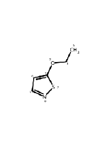 CCOc1c[c]ns1